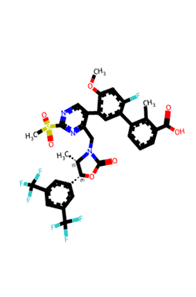 COc1cc(F)c(-c2cccc(C(=O)O)c2C)cc1-c1cnc(S(C)(=O)=O)nc1CN1C(=O)O[C@H](c2cc(C(F)(F)F)cc(C(F)(F)F)c2)[C@@H]1C